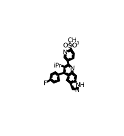 CC(C)c1c(-c2ccc(S(C)(=O)=O)nc2)nc2cc3[nH]ncc3cc2c1-c1ccc(F)cc1